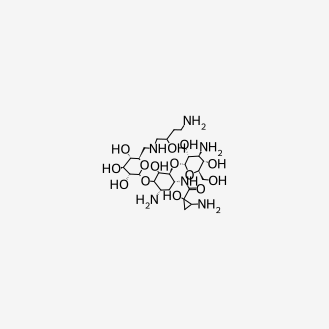 NCCC(O)CNC[C@H]1O[C@H](OC2[C@@H](N)C[C@@H](NC(=O)C3(O)CC3N)[C@H](O[C@H]3O[C@H](CO)[C@@H](O)[C@H](N)[C@H]3O)[C@H]2O)[C@H](O)[C@@H](O)[C@@H]1O